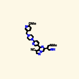 CN/C=C(\C=N)c1cn2ncc(C#N)c2c(-c2ccc(N3CCN(Cc4ccc(OC)nc4)CC3)nc2)n1